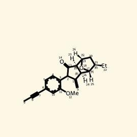 C=C1C(c2ccc(C#CC)cc2OC)C(=O)[C@@H]2[C@H]1[C@@H]1O[C@H]2C[C@H]1CC